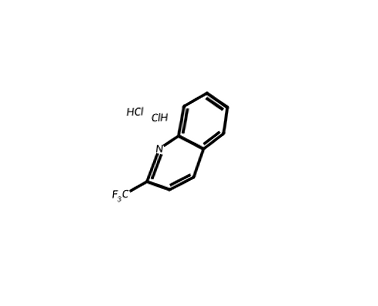 Cl.Cl.FC(F)(F)c1ccc2ccccc2n1